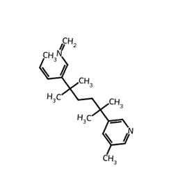 C=N/C=C(\C=C/C)C(C)(C)CCC(C)(C)c1cncc(C)c1